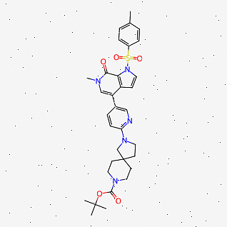 Cc1ccc(S(=O)(=O)n2ccc3c(-c4ccc(N5CCC6(CCN(C(=O)OC(C)(C)C)CC6)C5)nc4)cn(C)c(=O)c32)cc1